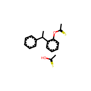 CC(=S)Oc1ccccc1C(C)c1ccccc1.CC(O)=S